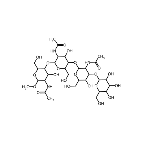 COC1OC(CO)C(OC2OC(CO)C(OC3OC(CO)C(O)C(OC4OC(CO)C(O)C(O)C4O)C3NC(C)=O)C(O)C2NC(C)=O)C(O)C1NC(C)=O